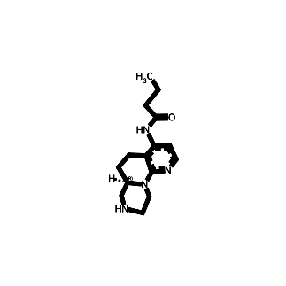 CCCC(=O)Nc1ccnc2c1CC[C@@H]1CNCCN21